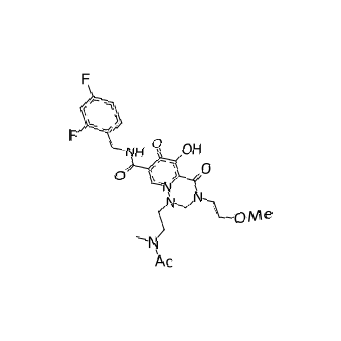 COCCN1CN(CCN(C)C(C)=O)n2cc(C(=O)NCc3ccc(F)cc3F)c(=O)c(O)c2C1=O